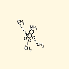 CCCCCCCCn1c(=O)c(OCCCC)c(OCCCC)c2ccc(N)cc21